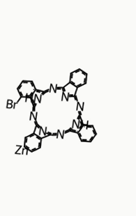 Brc1cccc2c3nc4nc(nc5[nH]c(nc6nc(nc([nH]3)c12)-c1ccccc1-6)c1ccccc51)-c1ccccc1-4.[Zn]